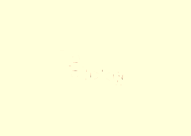 Cc1cccc(C(=O)c2cccc(C3C(=O)c4ccc(C(=O)c5ccc6c(c5)C(=O)N(C)C6=O)cc4C3=O)c2)c1